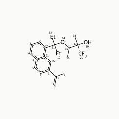 C=C(C)c1ccc2cccc(C(CC)(CC)OC(C)C(C)(O)C(F)(F)F)c2c1